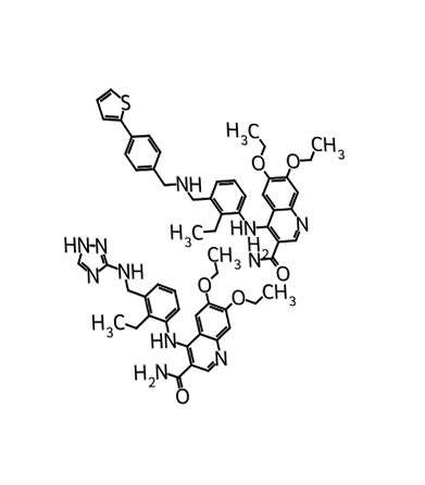 CCOc1cc2ncc(C(N)=O)c(Nc3cccc(CNCc4ccc(-c5cccs5)cc4)c3CC)c2cc1OCC.CCOc1cc2ncc(C(N)=O)c(Nc3cccc(CNc4nc[nH]n4)c3CC)c2cc1OCC